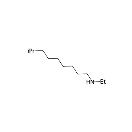 CCNCCCCCCCC(C)C